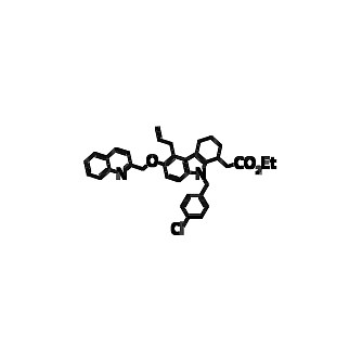 C=CCc1c(OCc2ccc3ccccc3n2)ccc2c1c1c(n2Cc2ccc(Cl)cc2)C(CC(=O)OCC)CCC1